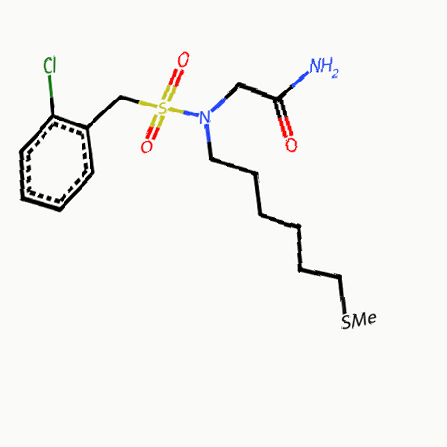 CSCCCCCCN(CC(N)=O)S(=O)(=O)Cc1ccccc1Cl